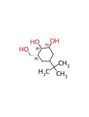 CC(C)(C)C1C[C@H](CO)[C@@H](O)[C@@H](O)C1